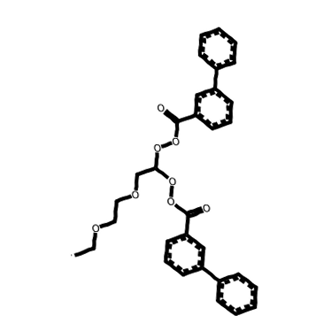 [CH2]COCCOC[C](OOC(=O)c1cccc(-c2ccccc2)c1)OOC(=O)c1cccc(-c2ccccc2)c1